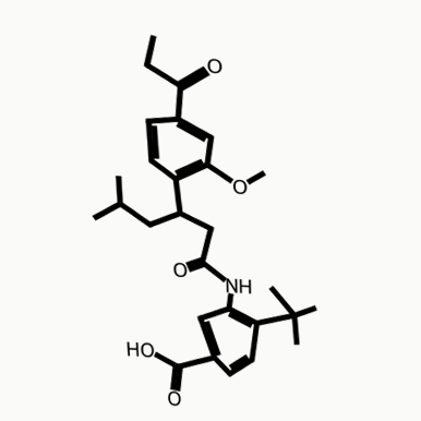 CCC(=O)c1ccc(C(CC(=O)Nc2cc(C(=O)O)ccc2C(C)(C)C)CC(C)C)c(OC)c1